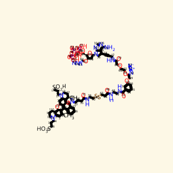 Cc1cc2c(cc1/C(=C1/C=C3CCCN(CCCS(=O)(=O)O)C3=CC1=O)c1ccccc1C(=O)N(C)CCCC(=O)NCCSSCCC(=O)NCCNC(=O)c1cccc(OCC(N=[N+]=[N-])OCCOCC(=O)NCC#Cc3cn([C@H]4C[C@@H](OCN=[N+]=[N-])[C@@H](COP(=O)(O)OP(=O)(O)OP(=O)(O)O)O4)c4ncnc(N)c34)c1)CCCN2CCCS(=O)(=O)O